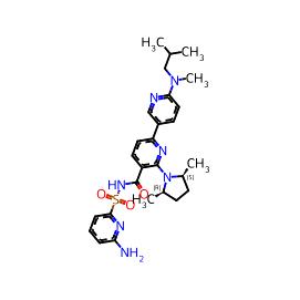 CC(C)CN(C)c1ccc(-c2ccc(C(=O)NS(=O)(=O)c3cccc(N)n3)c(N3[C@H](C)CC[C@@H]3C)n2)cn1